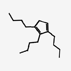 CCCCC1=[C]CC(CCCC)=C1CCCC